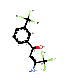 N/C(=C/C(=O)c1cccc(C(F)(F)F)c1)C(F)(F)F